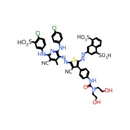 Cc1c(C#N)c(Nc2ccc(Cl)c(S(=O)(=O)O)c2)nc(Nc2ccc(Cl)cc2)c1N=Nc1sc(/N=N/c2cc(S(=O)(=O)O)c3cccc(S(=O)(=O)O)c3c2)c(-c2ccc(NC(=O)N(CCO)CCO)cc2)c1C#N